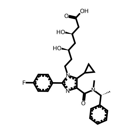 C[C@H](c1ccccc1)N(C)C(=O)c1nc(-c2ccc(F)cc2)n(CC[C@@H](O)C[C@@H](O)CC(=O)O)c1C1CC1